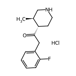 C[C@H]1CNCC[C@@H]1C(=O)Cc1ccccc1F.Cl